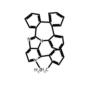 Cc1ccccc1-c1c2c(cc[n+]1C)nc1n2-c2ccccc2-c2ccccc2-c2ccccc2-1